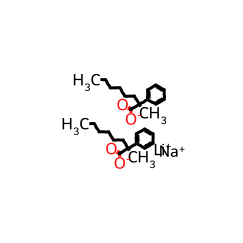 CCCCCCC(C)(C(=O)[O-])c1ccccc1.CCCCCCC(C)(C(=O)[O-])c1ccccc1.[Li+].[Na+]